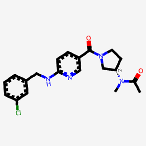 CC(=O)N(C)[C@H]1CCN(C(=O)c2ccc(NCc3cccc(Cl)c3)nc2)C1